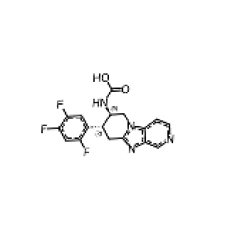 O=C(O)N[C@H]1Cn2c(nc3cnccc32)C[C@@H]1c1cc(F)c(F)cc1F